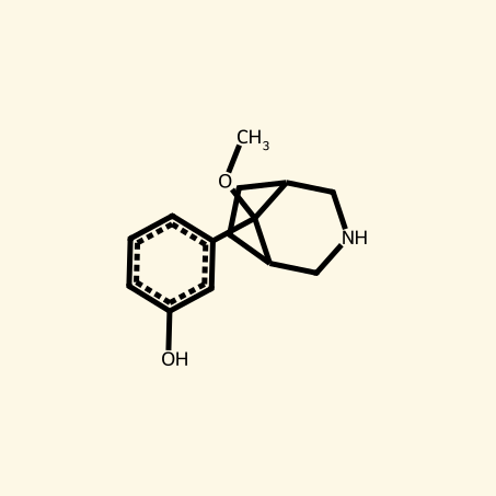 COC1(c2cccc(O)c2)C2CCC1CNC2